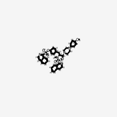 COc1ccc(N2CCN(C(=O)C(Cc3ccc(OS(=O)(=O)c4nccc5ccccc45)cc3)N(C)S(=O)(=O)c3nccc4ccccc34)CC2)cc1